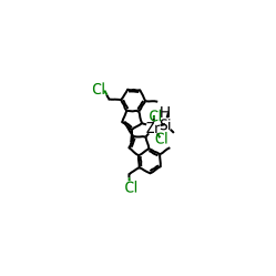 CC1=Cc2c(CCl)ccc(C)c2[CH]1[Zr]([Cl])([Cl])([CH]1C(C)=Cc2c(CCl)ccc(C)c21)[SiH](C)C